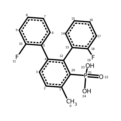 Cc1ccc(-c2ccccc2F)c(-c2ccccc2F)c1P(=O)(O)O